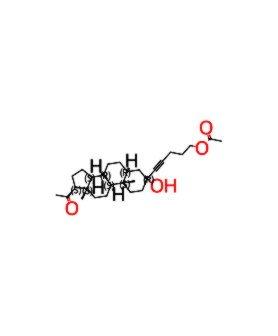 CC(=O)OCCCC#C[C@@]1(O)CC[C@@]2(C)[C@H](CC[C@@H]3[C@@H]2CC[C@]2(C)[C@@H](C(C)=O)CC[C@@H]32)C1